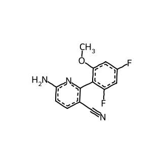 COc1cc(F)cc(F)c1-c1nc(N)ccc1C#N